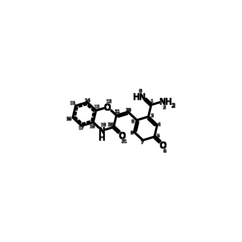 N=C(N)C1=CC(=O)CC=C1C=C1Oc2ccccc2NC1=O